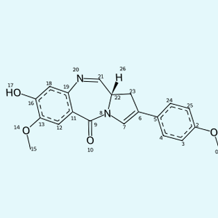 COc1ccc(C2=CN3C(=O)c4cc(OC)c(O)cc4N=C[C@@H]3C2)cc1